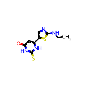 CCNc1ncc(-c2cc(=O)[nH]c(=S)[nH]2)s1